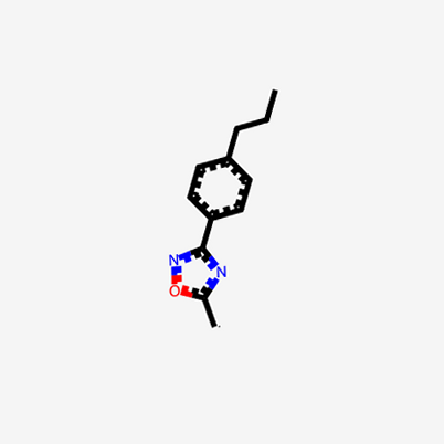 [CH2]c1nc(-c2ccc(CCC)cc2)no1